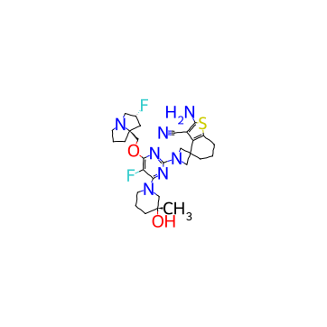 C[C@@]1(O)CCCN(c2nc(N3CC4(CCCc5sc(N)c(C#N)c54)C3)nc(OC[C@@]34CCCN3C[C@H](F)C4)c2F)C1